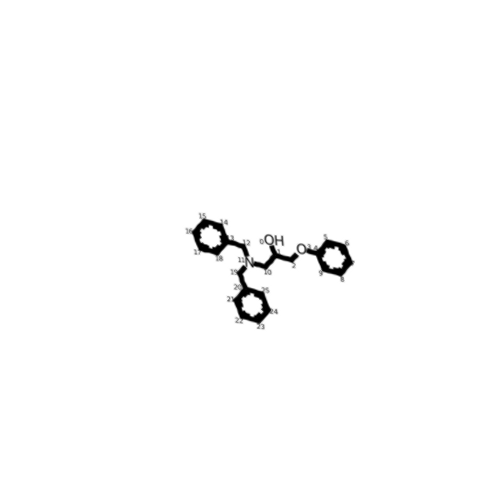 OC(COc1ccccc1)CN(Cc1ccccc1)Cc1ccccc1